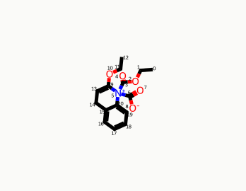 CCOC(=O)[N+]1(C(=O)[O-])C(OCC)=CCc2ccccc21